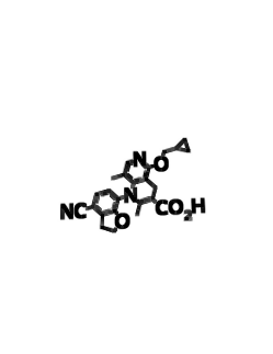 CC1=C(C(=O)O)Cc2c(OCC3CC3)ncc(C)c2N1c1ccc(C#N)c2c1OCC2